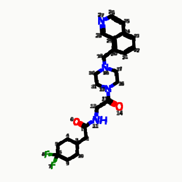 O=C(CC1CCC(F)(F)CC1)NCC(=O)N1CCN(Cc2cccc3ccncc23)CC1